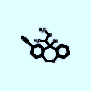 CNC(C)C1(O)c2cc(C#N)ccc2COc2ccccc21